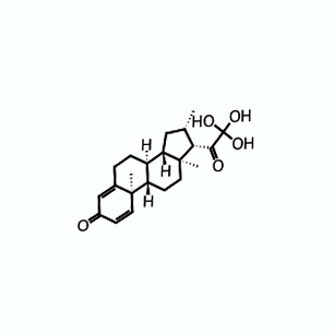 C[C@H]1C[C@H]2[C@@H]3CCC4=CC(=O)C=C[C@]4(C)[C@H]3CC[C@]2(C)[C@H]1C(=O)C(O)(O)O